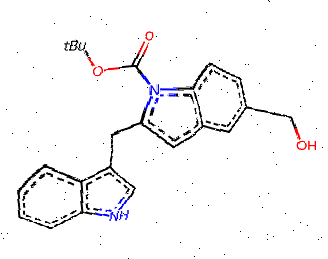 CC(C)(C)OC(=O)n1c(Cc2c[nH]c3ccccc23)cc2cc(CO)ccc21